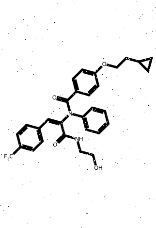 O=C(NCCO)C(=Cc1ccc(C(F)(F)F)cc1)N(C(=O)c1ccc(OCCC2CC2)cc1)c1ccccc1